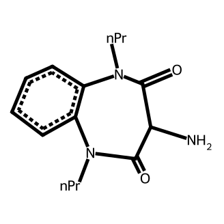 CCCN1C(=O)C(N)C(=O)N(CCC)c2ccccc21